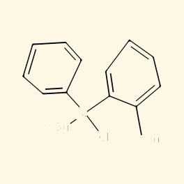 CCCCc1ccccc1[Si](Cl)(CCCC)c1ccccc1